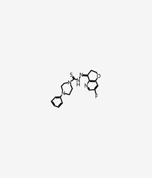 Fc1cnc2c(c1)OCC/C2=N/NC(=S)N1CCN(c2ccccc2)CC1